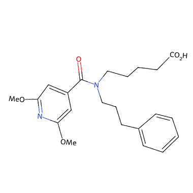 COc1cc(C(=O)N(CCCCC(=O)O)CCCc2ccccc2)cc(OC)n1